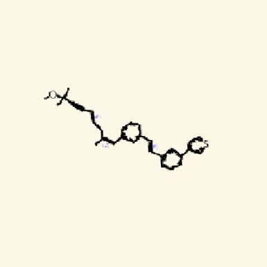 COC(C)(C)C#C/C=C/C/C(C)=C\c1cccc(/C=C/c2cccc(-c3ccsc3)c2)c1